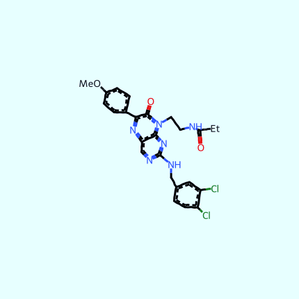 CCC(=O)NCCn1c(=O)c(-c2ccc(OC)cc2)nc2cnc(NCc3ccc(Cl)c(Cl)c3)nc21